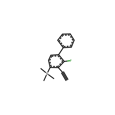 C#Cc1c([Si](C)(C)C)ccc(-c2ccccc2)c1F